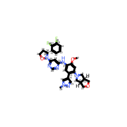 COc1cc(N2C[C@H]3COC[C@H]3C2)c(-c2cnn(C)c2)cc1Nc1cc(N2OCC[C@@H]2c2cccc(F)c2F)ncn1